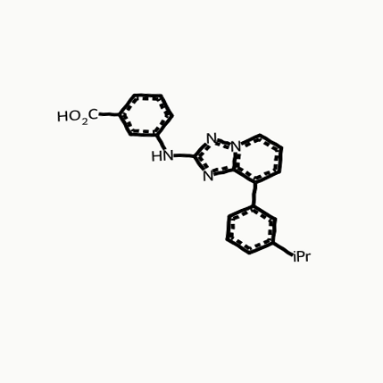 CC(C)c1cccc(-c2cccn3nc(Nc4cccc(C(=O)O)c4)nc23)c1